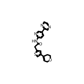 O=C(Cc1cc(C2=CCOCC2)cs1)Nc1ccc(-c2cnccn2)cn1